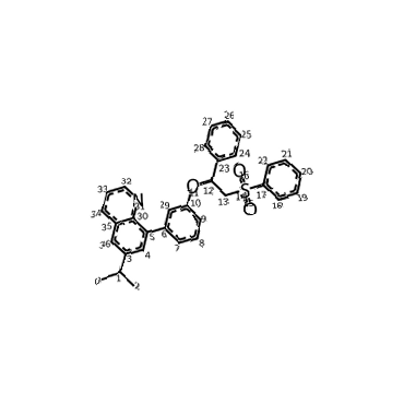 CC(C)c1cc(-c2cccc(OC(CS(=O)(=O)c3ccccc3)c3ccccc3)c2)c2ncccc2c1